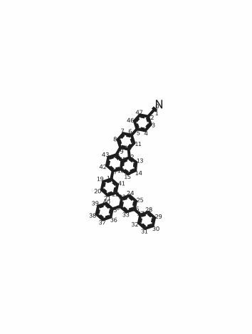 N#Cc1ccc(-c2ccc3c(c2)-c2cccc4c(-c5cccc(-c6ccc(-c7ccccc7)cc6-c6ccccc6)c5)ccc-3c24)cc1